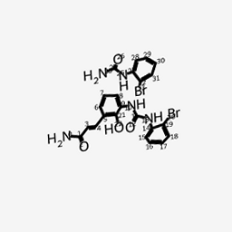 NC(=O)C=Cc1cccc(NC(=O)Nc2ccccc2Br)c1O.NC(=O)Nc1ccccc1Br